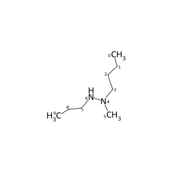 CCCCN(C)NCCC